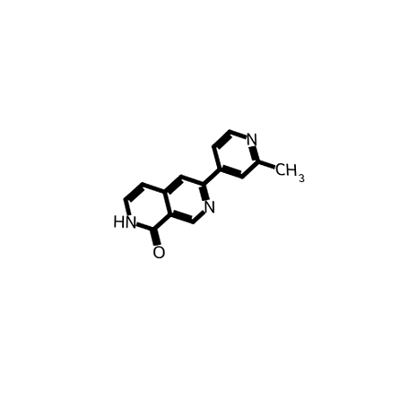 Cc1cc(-c2cc3cc[nH]c(=O)c3cn2)ccn1